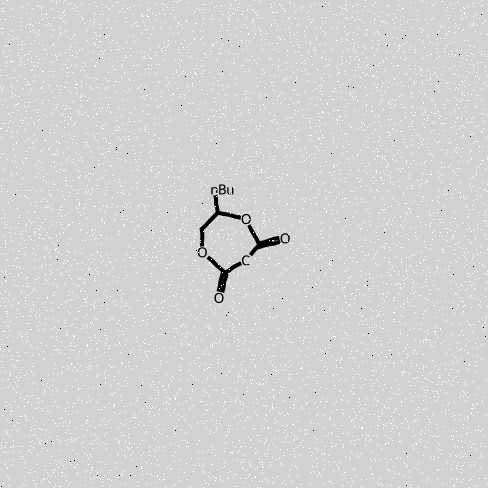 CCCCC1COC(=O)CC(=O)O1